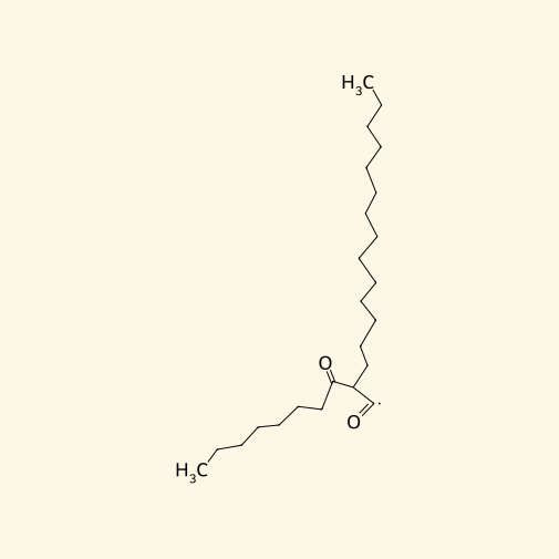 CCCCCCCCCCCCCCC([C]=O)C(=O)CCCCCCC